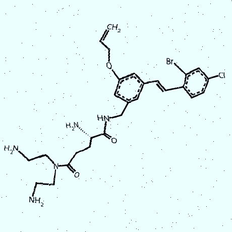 C=CCOc1cc(C=Cc2ccc(Cl)cc2Br)cc(CNC(=O)[C@@H](N)CCC(=O)N(CCN)CCN)c1